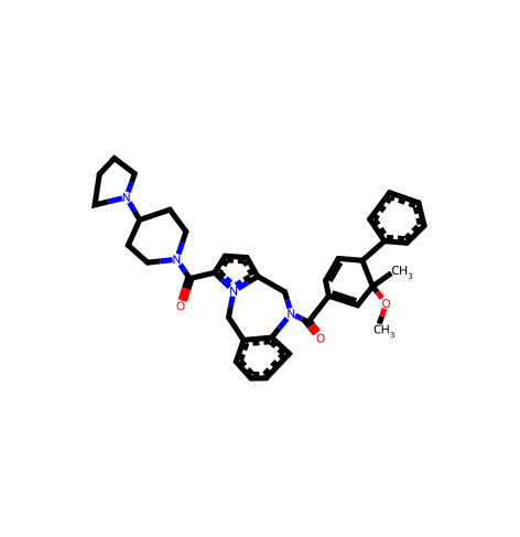 COC1(C)C=C(C(=O)N2Cc3ccc(C(=O)N4CCC(N5CCCC5)CC4)n3Cc3ccccc32)C=CC1c1ccccc1